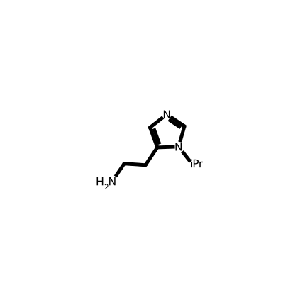 CC(C)n1cncc1CCN